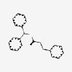 N[C@H](Cc1ccccc1)C(=O)OC(c1ccccc1)c1ccccc1